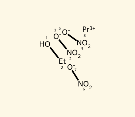 CCO.O=[N+]([O-])[O-].O=[N+]([O-])[O-].O=[N+]([O-])[O-].[Pr+3]